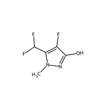 Cn1nc(O)c(F)c1C(F)F